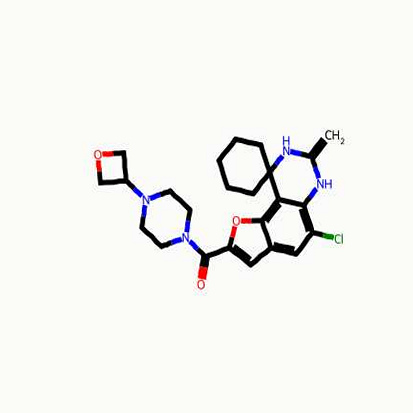 C=C1Nc2c(Cl)cc3cc(C(=O)N4CCN(C5COC5)CC4)oc3c2C2(CCCCC2)N1